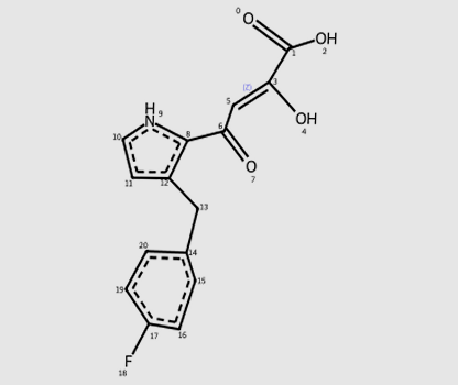 O=C(O)/C(O)=C/C(=O)c1[nH]ccc1Cc1ccc(F)cc1